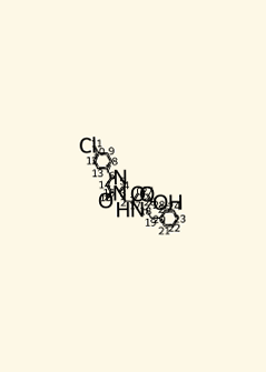 O=C(Cn1cnc(-c2ccc(Cl)cc2)cc1=O)NC(Cc1ccccc1)C(=O)O